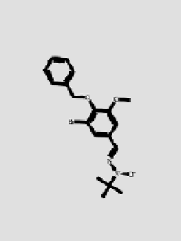 COc1cc(/C=N/[S@@+]([O-])C(C)(C)C)cc(Br)c1OCc1ccccc1